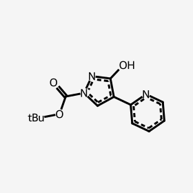 CC(C)(C)OC(=O)n1cc(-c2ccccn2)c(O)n1